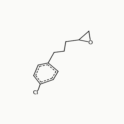 Clc1ccc(CCCC2CO2)cc1